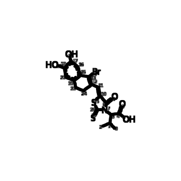 CC(C)C(C(=O)O)N1C(=O)/C(=C/C2=C(Br)c3cc(O)c(O)cc3CC2)SC1=S